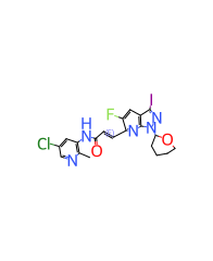 Cc1ncc(Cl)cc1NC(=O)/C=C/c1nc2c(cc1F)c(I)nn2C1CCCCO1